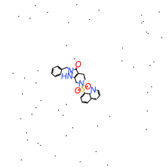 O=c1c2c([nH]n1Cc1ccccc1)CN(S(=O)(=O)c1cccc3cccnc13)CC2